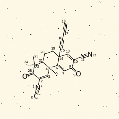 [C-]#[N+]C1=CC2(C)C3=CC(=O)C(C#N)=CC3(C#CC#C)CCC2C(C)(C)C1=O